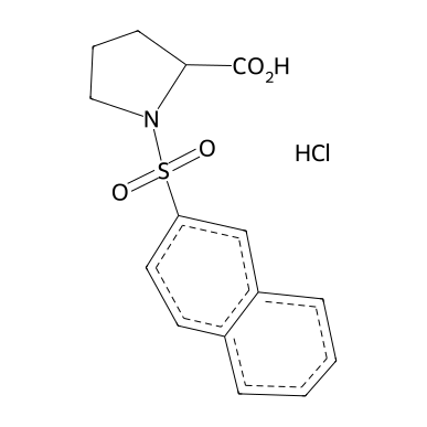 Cl.O=C(O)C1CCCN1S(=O)(=O)c1ccc2ccccc2c1